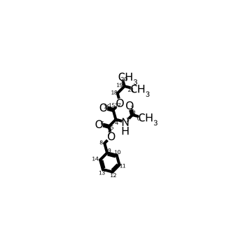 CC(=O)NC(C(=O)OCc1ccccc1)C(=O)OCC(C)C